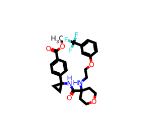 COC(=O)c1ccc(C2(NC(=O)C3(NCCOc4cccc(C(F)(F)F)c4)CCOCC3)CC2)cc1